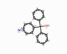 N.OC(c1ccccc1)(c1ccccc1)c1ccccc1